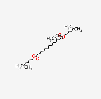 CC(C)CCCCOC(=O)CCCCCCCCCCC(CC(=O)OCCCCC(C)C)C(C)C